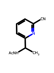 CC(=O)NC(C)c1cccc(C#N)n1